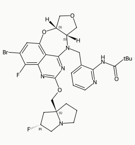 CC(C)(C)C(=O)Nc1ncccc1CN1c2nc(OC[C@@]34CCCN3C[C@H](F)C4)nc3c(F)c(Br)cc(c23)O[C@@H]2COC[C@@H]21